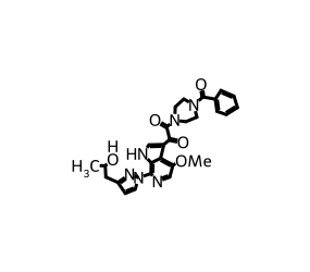 COc1cnc(-n2ccc(CC(C)O)n2)c2[nH]cc(C(=O)C(=O)N3CCN(C(=O)c4ccccc4)CC3)c12